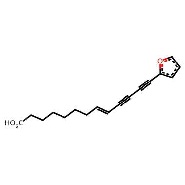 O=C(O)CCCCCCC=CC#CC#Cc1ccco1